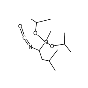 CC(C)CC(N=C=O)[Si](C)(OC(C)C)OC(C)C